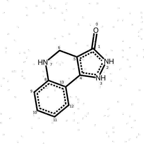 O=c1[nH][nH]c2c1CNc1ccccc1-2